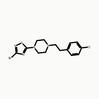 Clc1ccc(CCN2CCN(c3nc(Br)ns3)CC2)cc1